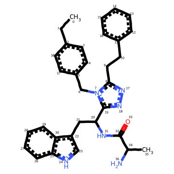 CCc1ccc(Cn2c(CCc3ccccc3)nnc2C(Cc2c[nH]c3ccccc23)NC(=O)C(C)N)cc1